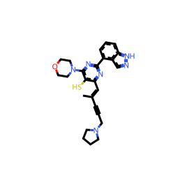 C/C(C#CCN1CCCC1)=C\c1nc(-c2cccc3[nH]ncc23)nc(N2CCOCC2)c1S